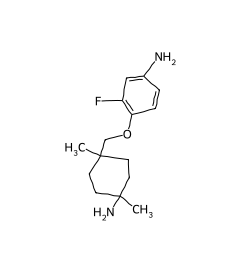 CC1(N)CCC(C)(COc2ccc(N)cc2F)CC1